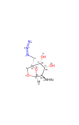 CC(=O)N[C@H]1[C@H]2OC[C@](CN=[N+]=[N-])(O2)[C@H](O)[C@@H]1O